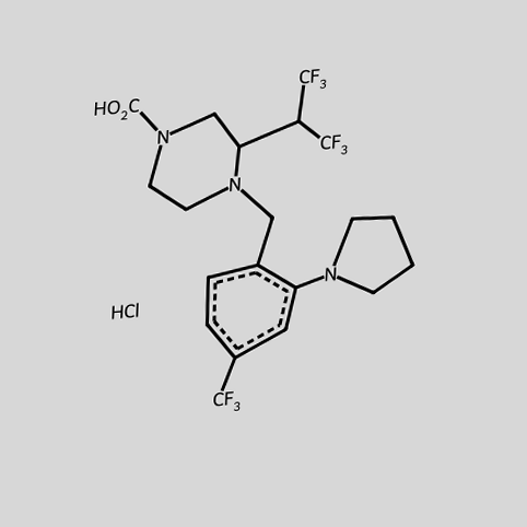 Cl.O=C(O)N1CCN(Cc2ccc(C(F)(F)F)cc2N2CCCC2)C(C(C(F)(F)F)C(F)(F)F)C1